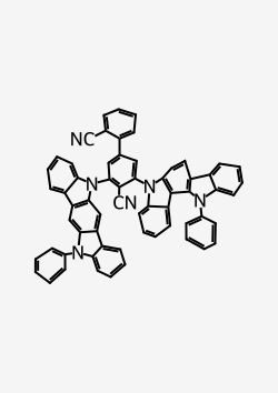 N#Cc1ccccc1-c1cc(-n2c3ccccc3c3cc4c(cc32)c2ccccc2n4-c2ccccc2)c(C#N)c(-n2c3ccccc3c3c2ccc2c4ccccc4n(-c4ccccc4)c23)c1